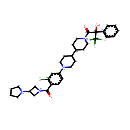 O=C(c1ccc(N2CCC(C3CCN(C(=O)C(O)(c4ccccc4)C(F)(F)F)CC3)CC2)cc1Cl)N1CC(N2CCCC2)C1